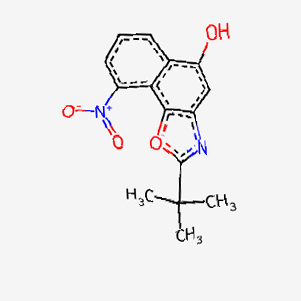 CC(C)(C)c1nc2cc(O)c3cccc([N+](=O)[O-])c3c2o1